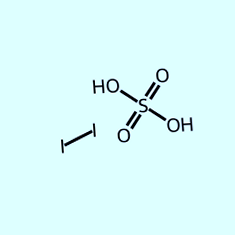 II.O=S(=O)(O)O